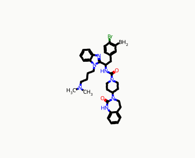 Bc1cc(CC(NC(=O)N2CCC(N3CCc4ccccc4NC3=O)CC2)c2nc3ccccc3n2CCCCN(C)C)ccc1Br